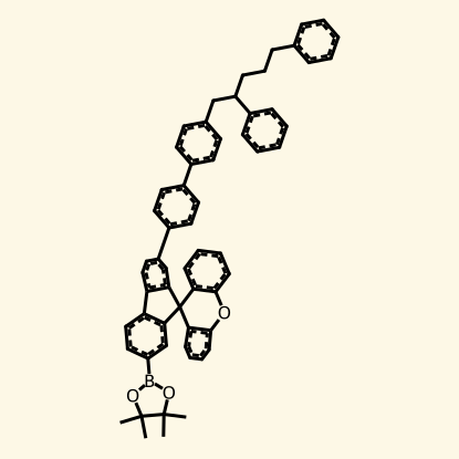 CC1(C)OB(c2ccc3c(c2)C2(c4ccccc4Oc4ccccc42)c2cc(-c4ccc(-c5ccc(CC(CCCc6ccccc6)c6ccccc6)cc5)cc4)ccc2-3)OC1(C)C